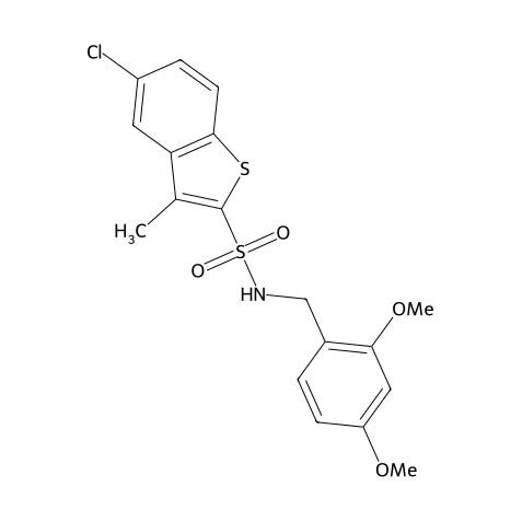 COc1ccc(CNS(=O)(=O)c2sc3ccc(Cl)cc3c2C)c(OC)c1